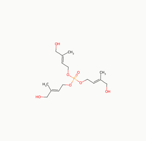 C/C(=C\COP(=O)(OC/C=C(\C)CO)OC/C=C(\C)CO)CO